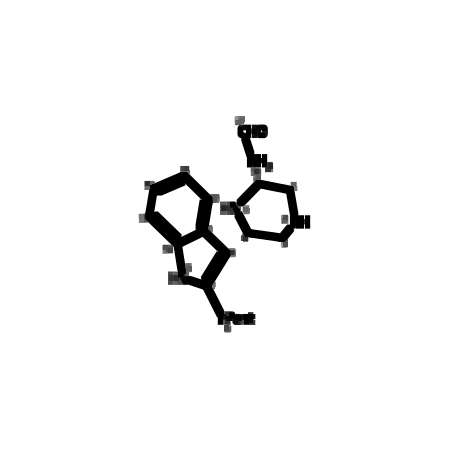 C1CNCCN1.CCCCCc1cc2ccccc2[nH]1.NC=O